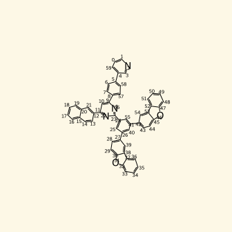 c1cncc(-c2ccc(-c3cc(-c4ccc5ccccc5c4)nc(-c4cc(-c5ccc6oc7ccccc7c6c5)cc(-c5ccc6oc7ccccc7c6c5)c4)n3)cc2)c1